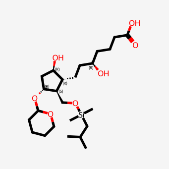 CC(C)C[Si](C)(C)OC[C@@H]1[C@@H](CC[C@H](O)CCCC(=O)O)[C@H](O)C[C@H]1OC1CCCCO1